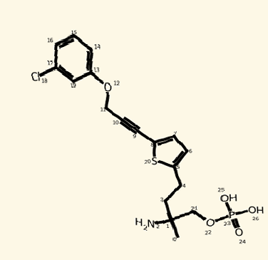 CC(N)(CCc1ccc(C#CCOc2cccc(Cl)c2)s1)COP(=O)(O)O